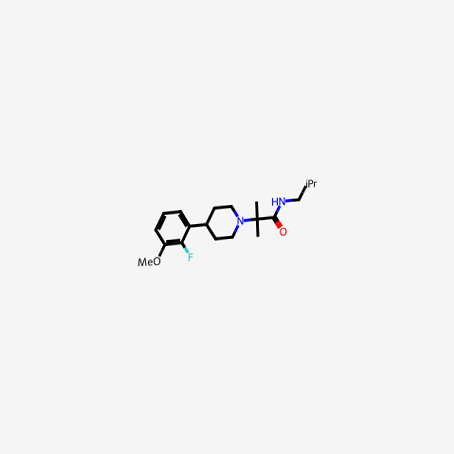 COc1cccc(C2CCN(C(C)(C)C(=O)NCC(C)C)CC2)c1F